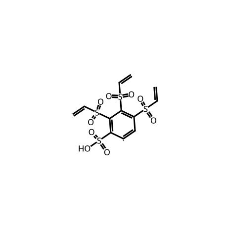 C=CS(=O)(=O)c1c[c]c(S(=O)(=O)O)c(S(=O)(=O)C=C)c1S(=O)(=O)C=C